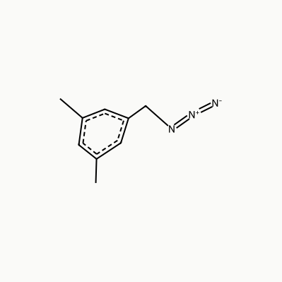 Cc1cc(C)cc(CN=[N+]=[N-])c1